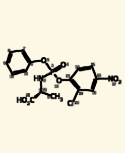 C[C@H](NP(=O)(Oc1ccccc1)Oc1ccc([N+](=O)[O-])cc1Cl)C(=O)O